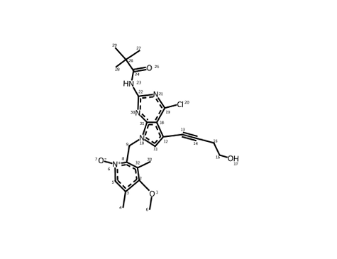 COc1c(C)c[n+]([O-])c(Cn2cc(C#CCCO)c3c(Cl)nc(NC(=O)C(C)(C)C)nc32)c1C